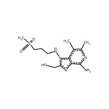 Cc1nc(N)c2nc(CO)n(NCCCS(C)(=O)=O)c2c1C